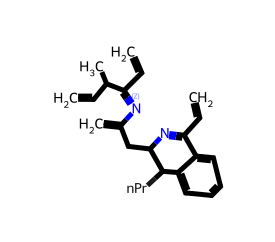 C=CC1=NC(CC(=C)/N=C(/C=C)C(C)C=C)C(CCC)c2ccccc21